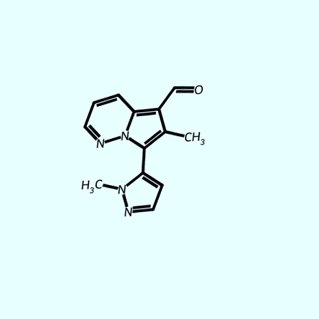 Cc1c(C=O)c2cccnn2c1-c1ccnn1C